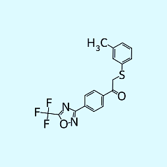 Cc1cccc(SCC(=O)c2ccc(-c3noc(C(F)(F)F)n3)cc2)c1